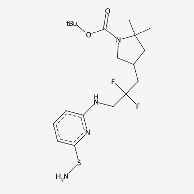 CC(C)(C)OC(=O)N1CC(CC(F)(F)CNc2cccc(SN)n2)CC1(C)C